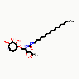 CCCCCCCCCCCCCCCCCCCCCCCCNC(=O)NC(COC1CC/C=C\C(O)C(O)C1O)C(O)CC(O)CC